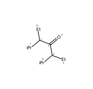 CCC(C(=O)C(CC)C(C)C)C(C)C